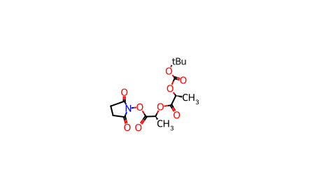 C[C@H](OC(=O)OC(C)(C)C)C(=O)O[C@@H](C)C(=O)ON1C(=O)CCC1=O